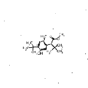 COC(=O)C(c1cc(O)c(C(C)(C)C)cc1C)C(C)(C)C